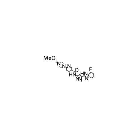 COCCN1CCN(c2ccc(C(=O)Nc3cc(-c4nc5cccc(F)c5[nH]4)n(C)n3)cn2)CC1